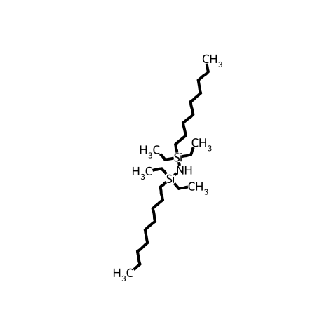 CCCCCCCCC[Si](CC)(CC)N[Si](CC)(CC)CCCCCCCCC